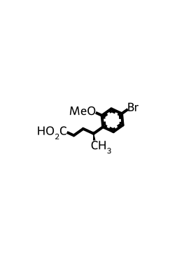 COc1cc(Br)ccc1[C@@H](C)CCC(=O)O